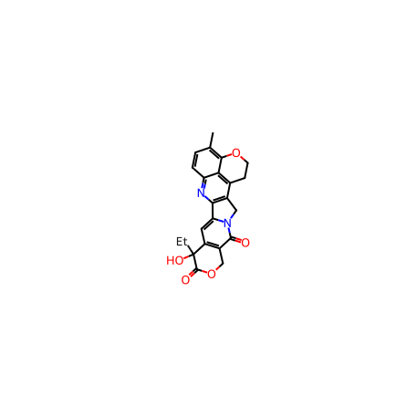 CCC1(O)C(=O)OCc2c1cc1n(c2=O)Cc2c-1nc1ccc(C)c3c1c2CCO3